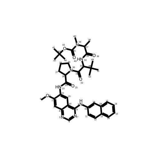 COc1cc2ncnc(Nc3ccc4ccccc4c3)c2cc1NC(=O)C1CCCN1C(=O)C(NC(=O)C(C)N(C)C(=O)OC(C)(C)C)C(C)(C)C